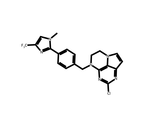 Cn1cc(C(F)(F)F)nc1-c1ccc(CN2CCn3ccc4nc(Cl)nc2c43)cc1